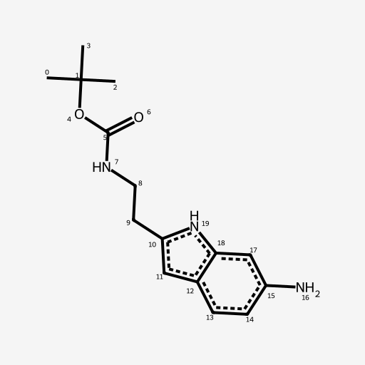 CC(C)(C)OC(=O)NCCc1cc2ccc(N)cc2[nH]1